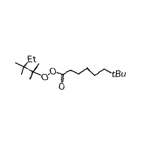 CCC(C)(C)C(C)(C)OOC(=O)CCCCCC(C)(C)C